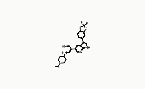 CSN1CCC(N/C=C(\C=N)c2cnc3[nH]cc(-c4ccc5c(c4)OC(F)(F)C5)c3c2)CC1